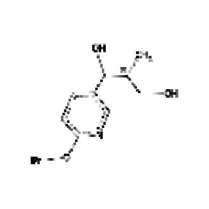 CC(C)Oc1ccc(C(O)[C@H](C)CO)cn1